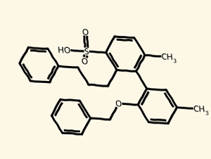 Cc1ccc(OCc2ccccc2)c(-c2c(C)ccc(S(=O)(=O)O)c2CCCc2ccccc2)c1